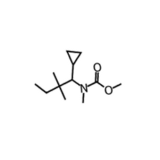 CCC(C)(C)C(C1CC1)N(C)C(=O)OC